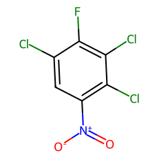 O=[N+]([O-])c1cc(Cl)c(F)c(Cl)c1Cl